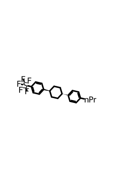 CCCc1ccc([C@H]2CC[C@H](c3ccc(S(F)(F)(F)(F)F)cc3)CC2)cc1